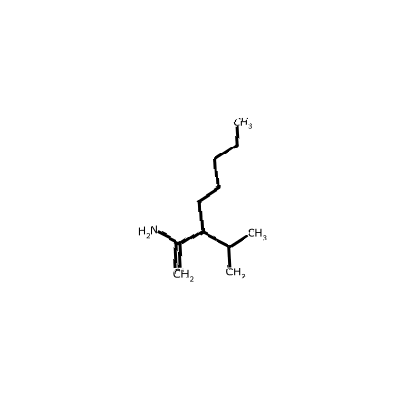 C=C(N)C(CCCCC)C(C)C